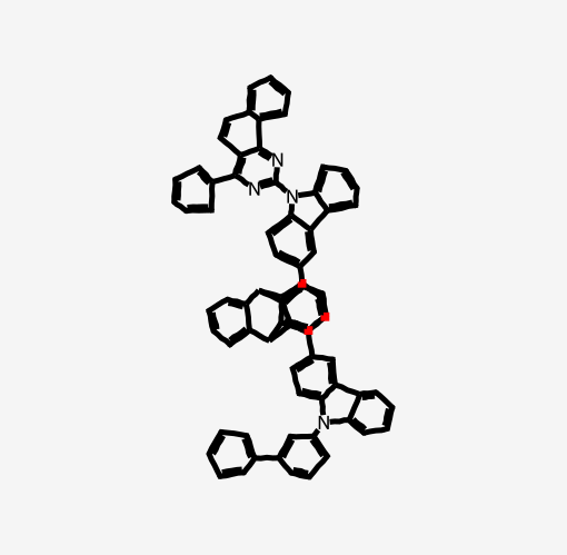 c1ccc(-c2cccc(-n3c4ccccc4c4cc(-c5ccc(-c6ccc7c(c6)c6ccccc6n7-c6nc(-c7ccccc7)c7ccc8ccccc8c7n6)c6c5C5c7ccccc7C6c6ccccc65)ccc43)c2)cc1